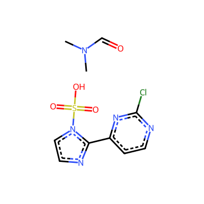 CN(C)C=O.O=S(=O)(O)n1ccnc1-c1ccnc(Cl)n1